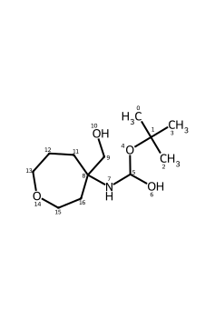 CC(C)(C)OC(O)NC1(CO)CCCOCC1